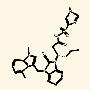 CCC[C@@H](CC(=O)NS(=O)(=O)c1cn(C)cn1)n1c(=O)n(CC2=CN(C)C3C=CC=C(C)C23)c2ccccc21